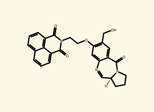 O=C1c2cccc3cccc(c23)C(=O)N1CCOc1cc2c(cc1CO)C(=O)N1CCC[C@H]1C=N2